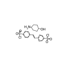 NC1CCC(O)CC1.O=S(=O)(Cl)c1ccc(C=Cc2ccc(S(=O)(=O)Cl)cc2)cc1